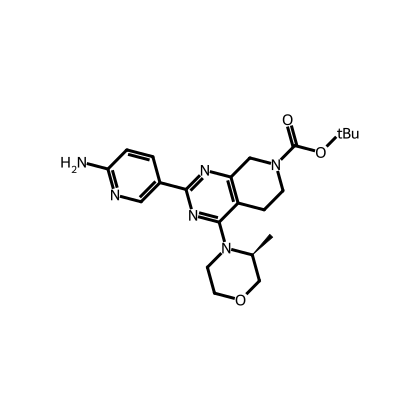 C[C@H]1COCCN1c1nc(-c2ccc(N)nc2)nc2c1CCN(C(=O)OC(C)(C)C)C2